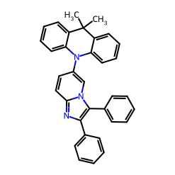 CC1(C)c2ccccc2N(c2ccc3nc(-c4ccccc4)c(-c4ccccc4)n3c2)c2ccccc21